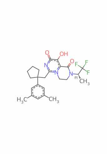 Cc1cc(C)cc(C2(Cc3nc(=O)c(O)c4n3CCN([C@H](C)C(F)(F)F)C4=O)CCCC2)c1